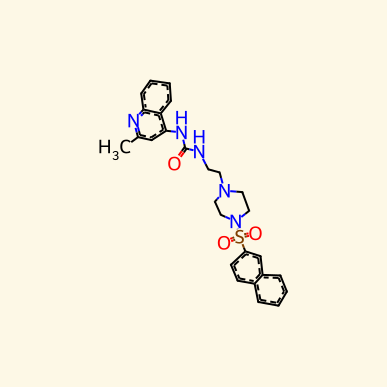 Cc1cc(NC(=O)NCCN2CCN(S(=O)(=O)c3ccc4ccccc4c3)CC2)c2ccccc2n1